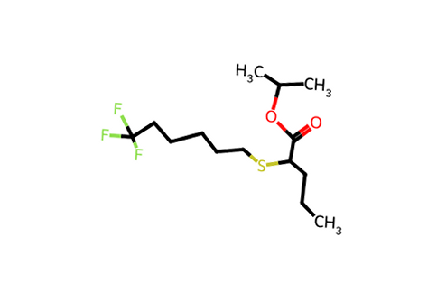 CCCC(SCCCCCC(F)(F)F)C(=O)OC(C)C